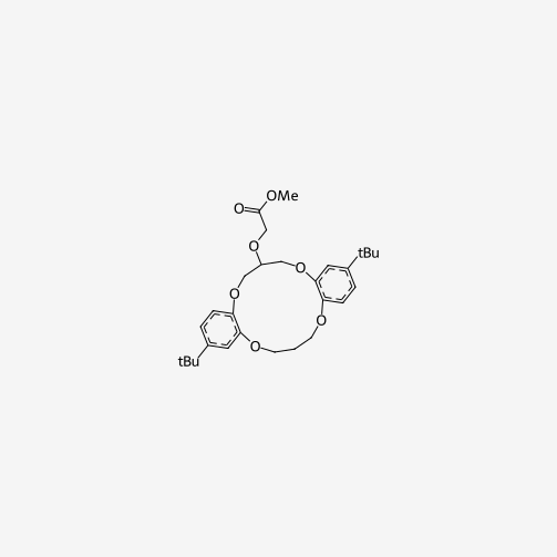 COC(=O)COC1COc2ccc(C(C)(C)C)cc2OCCCOc2ccc(C(C)(C)C)cc2OC1